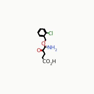 N[C@@H](OCc1ccccc1Cl)C(=O)CCC(=O)O